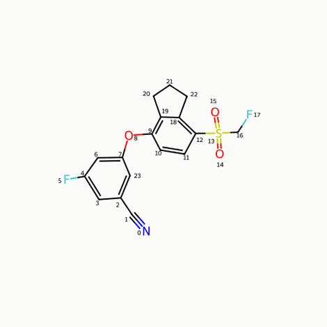 N#Cc1cc(F)cc(Oc2ccc(S(=O)(=O)CF)c3c2CCC3)c1